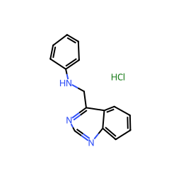 Cl.c1ccc(NCc2ncnc3ccccc23)cc1